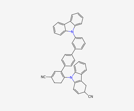 N#CC1=CC(c2ccc(-c3cccc(-n4c5ccccc5c5ccccc54)c3)cc2)=C(n2c3c(c4ccccc42)CC(C#N)C=C3)CC1